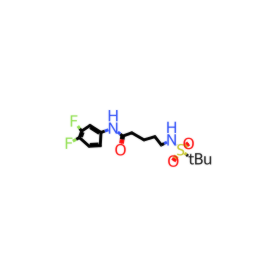 CC(C)(C)S(=O)(=O)NCCCCC(=O)Nc1ccc(F)c(F)c1